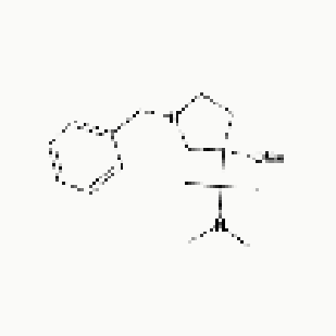 COC1(C(C)(C)N(C)C)CCN(Cc2ccccc2)C1